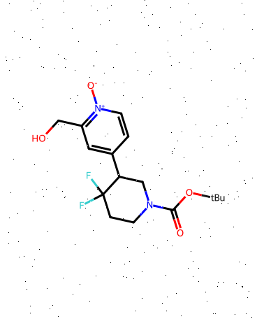 CC(C)(C)OC(=O)N1CCC(F)(F)C(c2cc[n+]([O-])c(CO)c2)C1